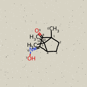 CC12CCC(C(=NO)C1=O)C2(C)C